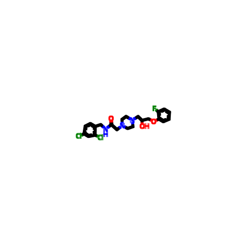 O=C(CN1CCN(CC(O)COc2ccccc2F)CC1)NCc1ccc(Cl)cc1Cl